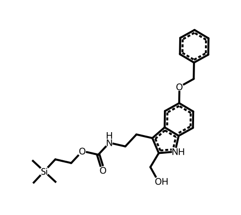 C[Si](C)(C)CCOC(=O)NCCc1c(CO)[nH]c2ccc(OCc3ccccc3)cc12